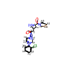 O=C(CC1CNC(C(=O)N2CCSC2)C1)N1CCN(c2ccccc2Cl)CC1